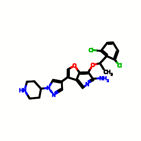 CC(Oc1c(N)ncc2c(-c3cnn(C4CCNCC4)c3)coc12)c1c(Cl)cccc1Cl